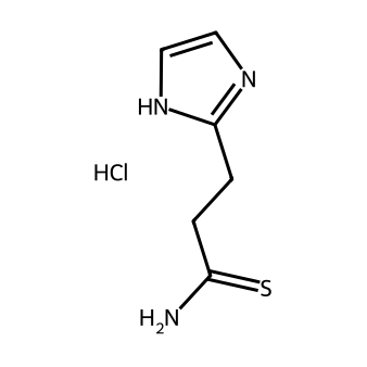 Cl.NC(=S)CCc1ncc[nH]1